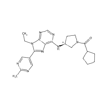 CCn1c(-c2cnc(C)nc2)nc2c(N[C@H]3CCN(C(=O)C4CCCC4)C3)ncnc21